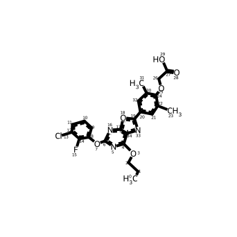 CCCOc1nc(Oc2cccc(Cl)c2F)nc2oc(-c3cc(C)c(OCC(=O)O)c(C)c3)nc12